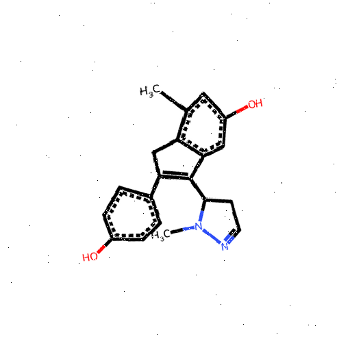 Cc1cc(O)cc2c1CC(c1ccc(O)cc1)=C2C1CC=NN1C